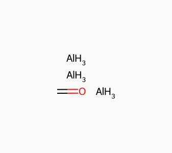 C=O.[AlH3].[AlH3].[AlH3]